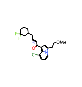 COCCc1cc(C(=O)/C=C/CC2CCCC(F)(F)C2)c2c(Cl)cccn12